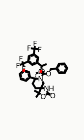 CC(OC[C@@]1(c2ccccc2)CCC2(CN1C(=O)OCc1ccccc1)NC(=O)OC2(C)C)c1cc(C(F)(F)F)cc(C(F)(F)F)c1